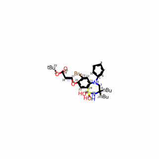 CCCCC1(CCCC)CN(c2ccccc2)c2cc(Br)c(O/C=C/C(=O)OC(C)(C)C)cc2S(O)(O)N1